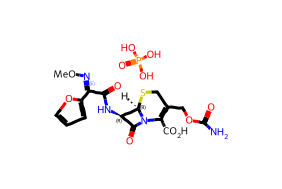 CO/N=C(/C(=O)N[C@@H]1C(=O)N2C(C(=O)O)=C(COC(N)=O)CS[C@H]12)c1ccco1.O=P(O)(O)O